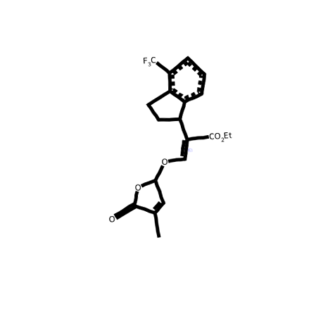 CCOC(=O)/C(=C/OC1C=C(C)C(=O)O1)C1CCc2c1cccc2C(F)(F)F